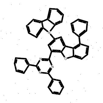 c1ccc(-c2nc(-c3ccccc3)nc(-c3cc(-n4c5ccccc5c5ccccc54)cc4c3oc3cccc(-c5ccccc5)c34)n2)cc1